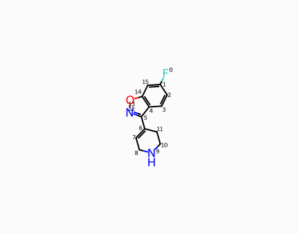 Fc1ccc2c(C3=CCNCC3)noc2c1